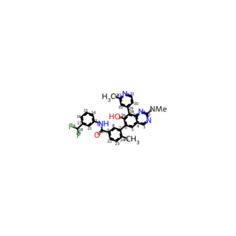 CNc1ncc2cc(-c3cc(C(=O)Nc4cccc(C(F)F)c4)ccc3C)c(O)c(-c3ccnc(C)c3)c2n1